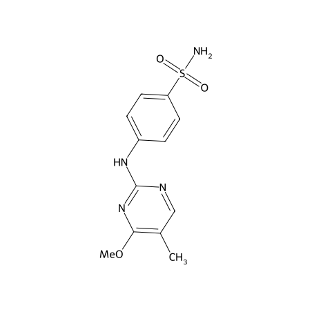 COc1nc(Nc2ccc(S(N)(=O)=O)cc2)ncc1C